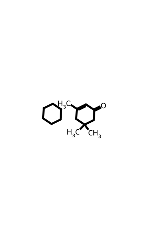 C1CCCCC1.CC1=CC(=O)CC(C)(C)C1